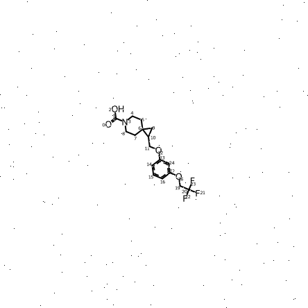 O=C(O)N1CCC2(CC1)CC2COc1cccc(OCC(F)(F)F)c1